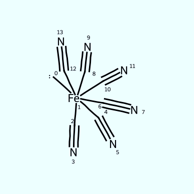 [CH][Fe]([C]#N)([C]#N)([C]#N)([C]#N)([C]#N)[C]#N